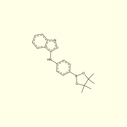 CC1(C)OB(c2ccc(Nc3onc4ccccc34)cc2)OC1(C)C